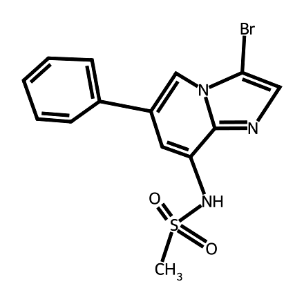 CS(=O)(=O)Nc1cc(-c2ccccc2)cn2c(Br)cnc12